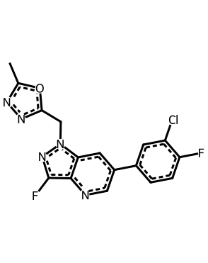 Cc1nnc(Cn2nc(F)c3ncc(-c4ccc(F)c(Cl)c4)cc32)o1